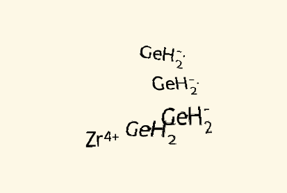 [GeH2-].[GeH2-].[GeH2-].[GeH2-].[Zr+4]